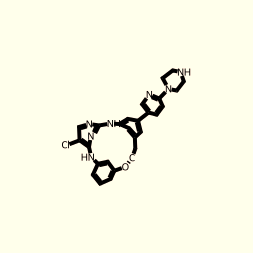 Clc1cnc2nc1Nc1cccc(c1)OCCc1cc(cc(-c3ccc(N4CCNCC4)nc3)c1)N2